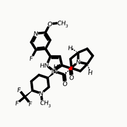 COc1cc(-c2cc(C(=O)N3[C@@H]4CC[C@H]3C[C@H](C(=O)N[C@@H]3CC[C@H](C(F)(F)F)N(C)C3)C4)n[nH]2)c(F)cn1